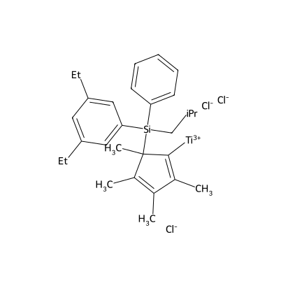 CCc1cc(CC)cc([Si](CC(C)C)(c2ccccc2)C2(C)C(C)=C(C)C(C)=[C]2[Ti+3])c1.[Cl-].[Cl-].[Cl-]